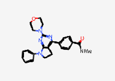 CNC(=O)c1ccc(-c2nc(N3CCOCC3)nc3c2CCN3c2ccccc2)cc1